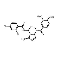 COc1ccc(C(=O)N2CCC(NC(=O)c3ccc(Cl)cc3Cl)c3c2cnn3C)cc1OC